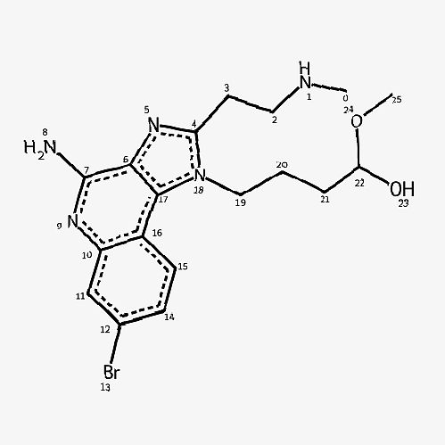 CNCCc1nc2c(N)nc3cc(Br)ccc3c2n1CCCC(O)OC